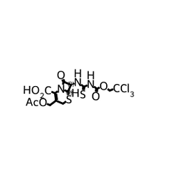 CC(=O)OCC1=C(C(=O)O)N2C(=O)[C@@H](NC(=S)NC(=O)OCC(Cl)(Cl)Cl)[C@H]2SC1